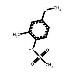 COc1ccc(NS(C)(=O)=O)c(C)c1